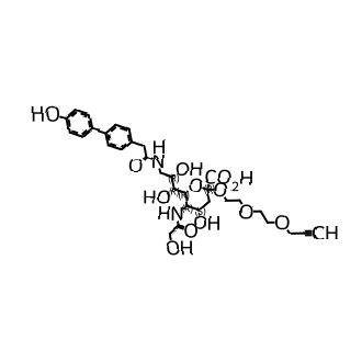 C#CCOCCOCCO[C@]1(C(=O)O)C[C@H](O)[C@@H](NC(=O)CO)[C@H]([C@H](O)[C@H](O)CNC(=O)Cc2ccc(-c3ccc(O)cc3)cc2)O1